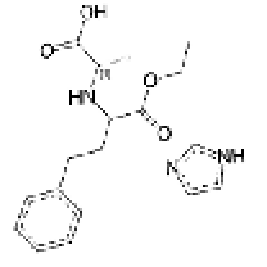 CCOC(=O)C(CCc1ccccc1)N[C@@H](C)C(=O)O.c1c[nH]cn1